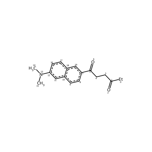 CCC(=O)CCC(=O)c1ccc2cc(N(C)C)ccc2c1